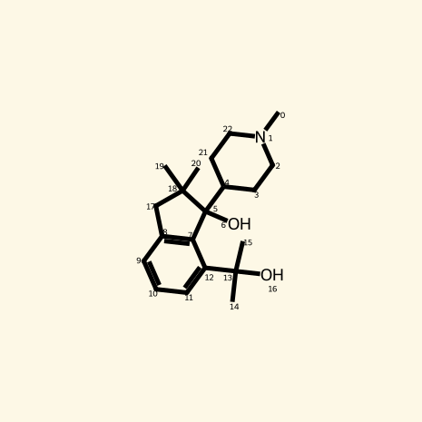 CN1CCC(C2(O)c3c(cccc3C(C)(C)O)CC2(C)C)CC1